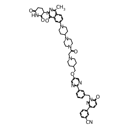 Cc1nn(C2CCC(=O)NC2=O)c(=O)c2cc(N3CCC(N4CCN(C(=O)CN5CCC(COc6cnc(-c7cccc(Cn8nc(-c9cccc(C#N)c9)ccc8=O)c7)nc6)CC5)CC4)CC3)ccc12